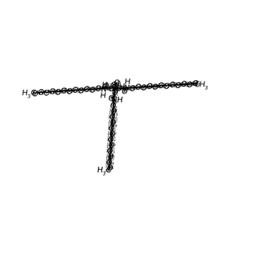 COCCOCCOCCOCCOCCOCCOCCOCCOCCOCCOCCOCCNC(=O)CCOCC(COCCC(=O)NCCOCCOCCOCCOCCOCCOCCOCCOCCOCCOCCOCCOC)(COCCC(=O)NCCOCCOCCOCCOCCOCCOCCOCCOCCOCCOCCOCCOC)NC(C)=O